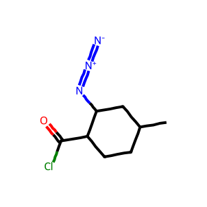 CC1CCC(C(=O)Cl)C(N=[N+]=[N-])C1